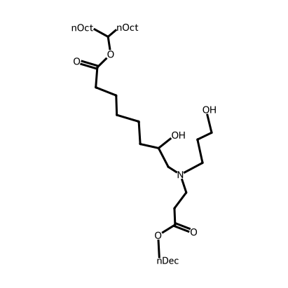 CCCCCCCCCCOC(=O)CCN(CCCO)CC(O)CCCCCC(=O)OC(CCCCCCCC)CCCCCCCC